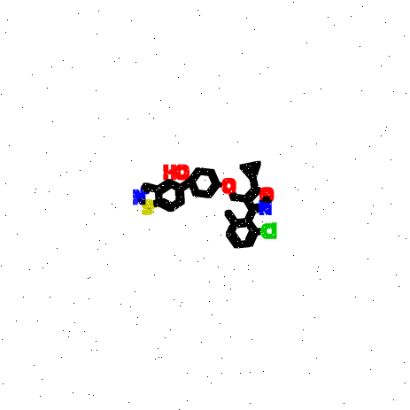 Cc1cccc(Cl)c1-c1noc(C2CC2)c1CO[C@H]1CC[C@](O)(c2ccc3sncc3c2)CC1